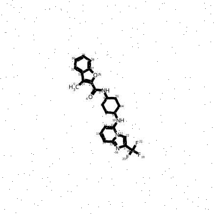 Cc1c(C(=O)NC2CCC(Nc3cccc4nc(C(F)(F)F)cn34)CC2)oc2ccccc12